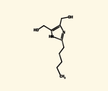 CCCCCc1nc(CO)c(CO)[nH]1